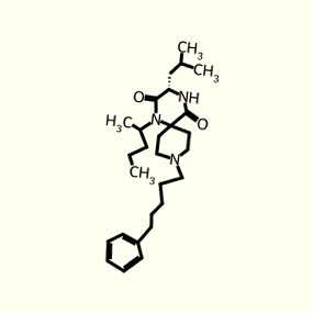 CCCC(C)N1C(=O)[C@H](CC(C)C)NC(=O)C12CCN(CCCCCc1ccccc1)CC2